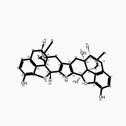 CN1CC[C@]23c4c5ccc(O)c4O[C@H]2c2[nH]c4c(c2C[C@@]3(O)[C@H]1C5)C[C@@]1(O)[C@H]2Cc3ccc(O)c5c3[C@@]1(CCN2C)[C@H]4O5